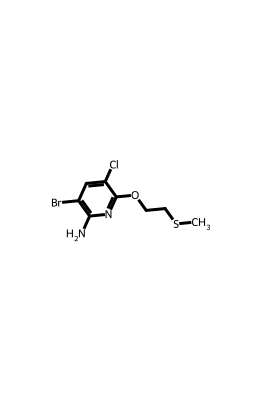 CSCCOc1nc(N)c(Br)cc1Cl